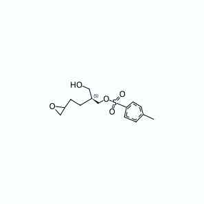 Cc1ccc(S(=O)(=O)OC[C@H](CO)CCC2CO2)cc1